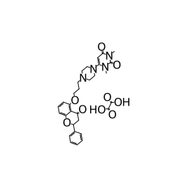 Cn1c(N2CCN(CCCOc3cccc4c3C(=O)CC(c3ccccc3)O4)CC2)cc(=O)n(C)c1=O.O=C(O)C(=O)O